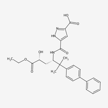 CCOC(=O)[C@H](O)C[C@H](NC(=O)c1cc(C(=O)O)n[nH]1)C(C)(C)c1ccc(-c2ccccc2)cc1